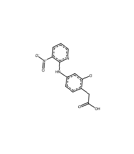 O=C(O)Cc1ccc(Nc2ncccc2[N+](=O)[O-])cc1Cl